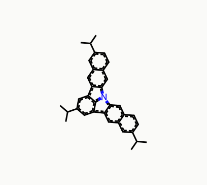 CC(C)c1ccc2cc3c(cc2c1)c1cc(C(C)C)cc2c4cc5cc(C(C)C)ccc5cc4n3c12